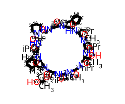 CCCN1CC(=O)N(C)[C@@H](CC(C)C)C(=O)N[C@@H](COCC(C)(C)O)C(=O)N(C)[C@@H](Cc2ccccc2)C(=O)N(C)[C@@H](CC(C)C)C(=O)N[C@H](C(=O)N2CCCCC2)CC(=O)N[C@H](C(C)C)C(=O)N(C)[C@@H](Cc2ccccc2)C(=O)N[C@@H](CC(C)C)C(=O)N(C)[C@@H](CC(C)C)C(=O)N[C@@H]([C@@H](C)O)C1=O